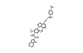 COc1cc(-c2csc3c(/C=C/CNc4ccc(N(C)C)cc4)cnc(N)c23)ccc1NC(=O)c1cc2ccccc2n1C